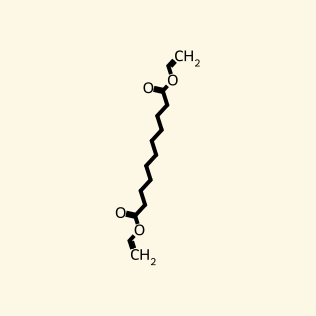 C=COC(=O)CCCCCCCCCC(=O)OC=C